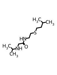 CC(C)CCSCCNC(=O)CNC(C)C